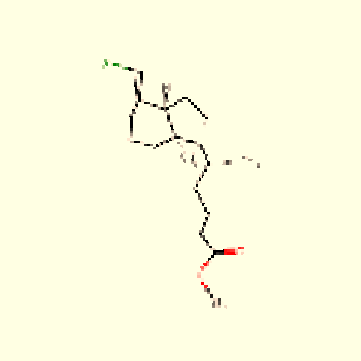 C[C@H](CCCC(=O)OC(C)(C)C)[C@H]1CC[C@H]2/C(=C/Br)CCC[C@]12C